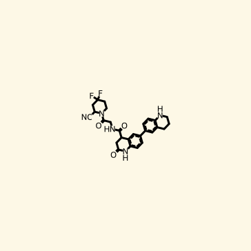 N#CC1CC(F)(F)CCN1C(=O)CNC(=O)C1CC(=O)Nc2ccc(-c3ccc4c(c3)CCCN4)cc21